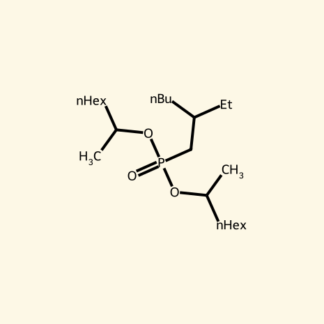 CCCCCCC(C)OP(=O)(CC(CC)CCCC)OC(C)CCCCCC